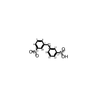 O=[N+]([O-])c1cccc([I+]c2cccc([N+](=O)O)c2)c1